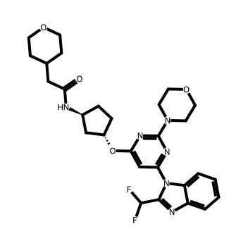 O=C(CC1CCOCC1)N[C@H]1CC[C@H](Oc2cc(-n3c(C(F)F)nc4ccccc43)nc(N3CCOCC3)n2)C1